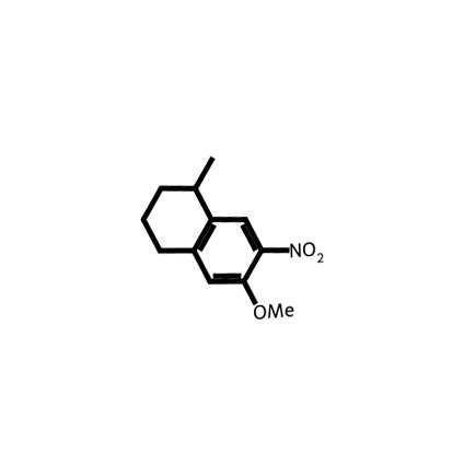 COc1cc2c(cc1[N+](=O)[O-])C(C)CCC2